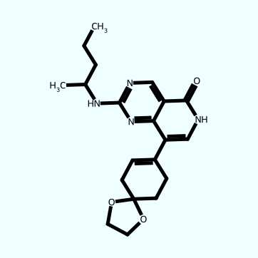 CCCC(C)Nc1ncc2c(=O)[nH]cc(C3=CCC4(CC3)OCCO4)c2n1